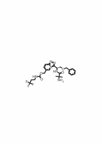 CC(C)(N)C(=O)N[C@H](COCc1ccccc1)c1nnc2ccc(COC(=O)NCCC(F)(F)F)cn12